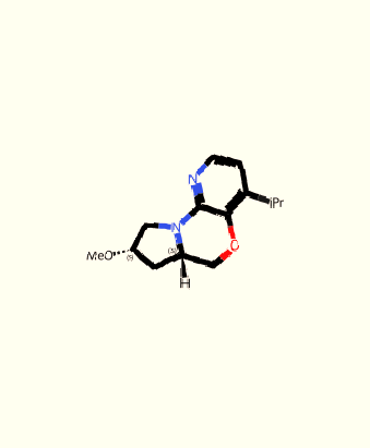 CO[C@H]1C[C@H]2COc3c(C(C)C)ccnc3N2C1